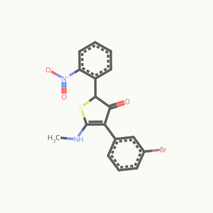 CNC1=C(c2cccc(Br)c2)C(=O)C(c2ccccc2[N+](=O)[O-])S1